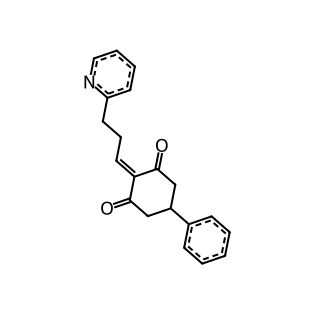 O=C1CC(c2ccccc2)CC(=O)C1=CCCc1ccccn1